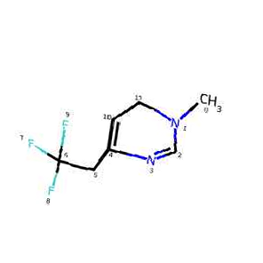 CN1C=NC(CC(F)(F)F)=CC1